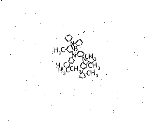 Cc1cc2c3c(c1)N(c1ccc(C(C)(C)C)cc1)c1cc(N4c5ccc(-c6ccccc6C)cc5C5(C)CCCCC45C)ccc1B3c1ccccc1N2c1ccccc1